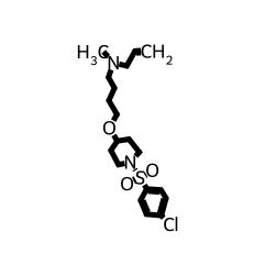 C=CCN(C)CCCCOC1CCN(S(=O)(=O)c2ccc(Cl)cc2)CC1